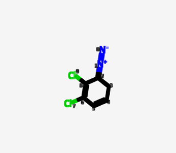 [N-]=[N+]=C1CC=CC(Cl)=C1Cl